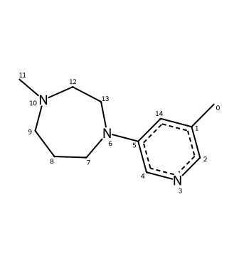 Cc1cncc(N2CCCN(C)CC2)c1